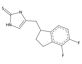 Fc1ccc2c(c1F)CCC2CC1=CNC(=S)[N]1